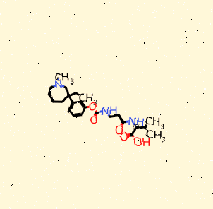 CCC1(c2cccc(OC(=O)NCCC(=O)N[C@H](C(=O)O)C(C)C)c2)CCCCN(C)C1